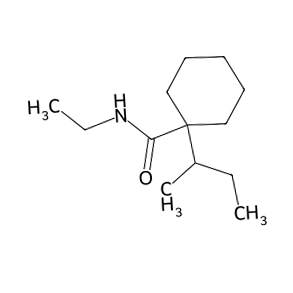 CCNC(=O)C1(C(C)CC)CCCCC1